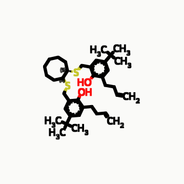 C=CCCc1cc(C(C)(C)C)cc(CS[C@H]2CCCCCC[C@@H]2SCc2cc(C(C)(C)C)cc(CCC=C)c2O)c1O